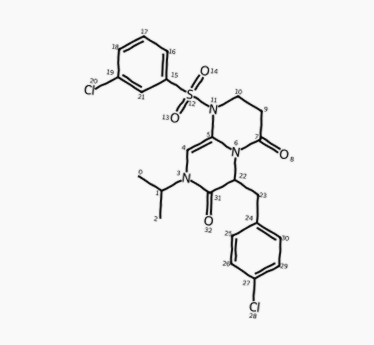 CC(C)N1C=C2N(C(=O)CCN2S(=O)(=O)c2cccc(Cl)c2)C(Cc2ccc(Cl)cc2)C1=O